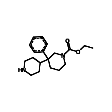 CCOC(=O)N1CCCC(c2ccccc2)(C2CCNCC2)C1